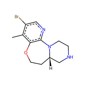 Cc1c(Br)cnc2c1OCC[C@H]1CNCCN21